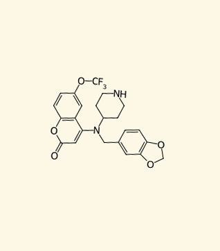 O=c1cc(N(Cc2ccc3c(c2)OCO3)C2CCNCC2)c2cc(OC(F)(F)F)ccc2o1